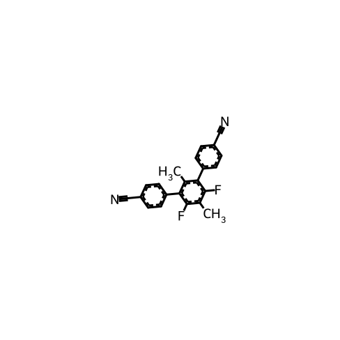 Cc1c(F)c(-c2ccc(C#N)cc2)c(C)c(-c2ccc(C#N)cc2)c1F